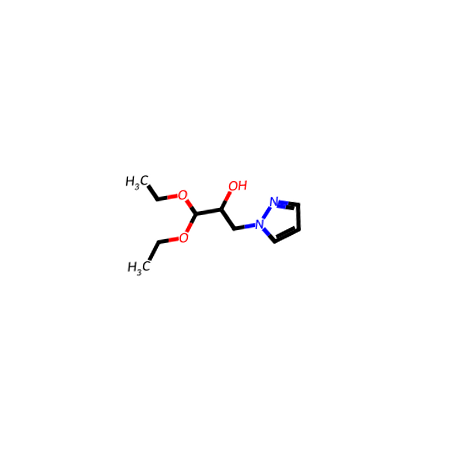 CCOC(OCC)C(O)Cn1cccn1